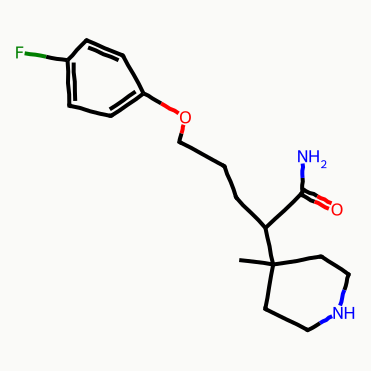 CC1(C(CCCOc2ccc(F)cc2)C(N)=O)CCNCC1